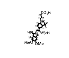 Br.COc1cc2c(c(F)c1OC)C(=N)N(CC(=O)c1ccc3c(c1)C(C)(C)CN3CCCC(=O)O)C2